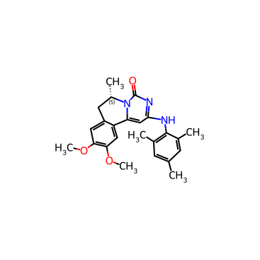 COc1cc2c(cc1OC)-c1cc(Nc3c(C)cc(C)cc3C)nc(=O)n1[C@@H](C)C2